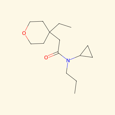 CCCN(C(=O)CC1(CC)CCOCC1)C1CC1